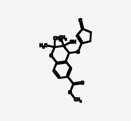 COC(=O)c1ccc2c(c1)C(OC1=CC(=O)CC1)C(C)(O)C(C)(C)O2